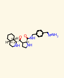 NN=Cc1ccc(CNC(=O)[C@H]2NCCC2C(=O)[C@@H]2NCC[C@@H]3CCCC[C@@H]32)cc1